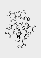 CC1C=CC2(C)C3=C1C1(C)Oc4cccc5c4C1=C1c4c(cc6ccccc6c4N(c4nc6ccccc6nc42)C13C)-c1ccccc1-5